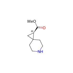 COC(=O)[C@@H]1CC12CCNCC2